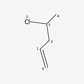 [CH]=CCC(C)Cl